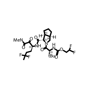 CNC(=O)C(=O)[C@H](CCC(C)(F)F)NC(=O)[C@@H]1[C@H]2CCC[C@H]2CN1C(=O)[C@@H](NC(=O)OCC(F)F)C(C)(C)C